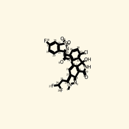 Cn1nc2c3c(c(NC(=O)C4=NS(=O)(=O)c5cc(F)ccc54)cc2c1CC(F)F)C(O)(c1cc(F)ccc1Cl)NC3=O